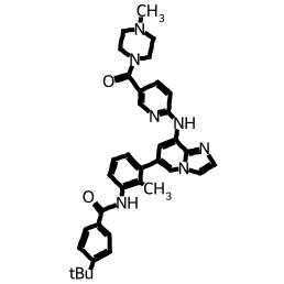 Cc1c(NC(=O)c2ccc(C(C)(C)C)cc2)cccc1-c1cc(Nc2ccc(C(=O)N3CCN(C)CC3)cn2)c2nccn2c1